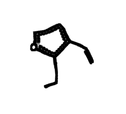 C=Cc1ccoc1CC